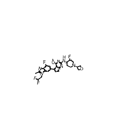 COc1nc(N[C@H]2CCN(C3COC3)C[C@@H]2F)nn2ccc(-c3cc(F)c4nc(C)n(CC(F)F)c4c3)c12